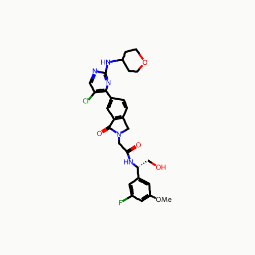 COc1cc(F)cc([C@@H](CO)NC(=O)CN2Cc3ccc(-c4nc(NC5CCOCC5)ncc4Cl)cc3C2=O)c1